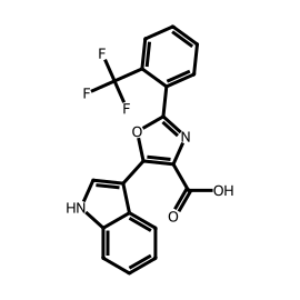 O=C(O)c1nc(-c2ccccc2C(F)(F)F)oc1-c1c[nH]c2ccccc12